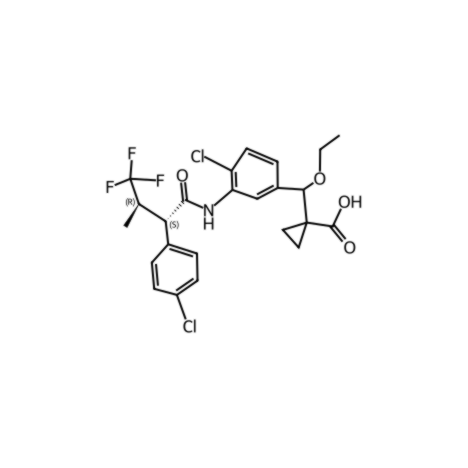 CCOC(c1ccc(Cl)c(NC(=O)[C@H](c2ccc(Cl)cc2)[C@@H](C)C(F)(F)F)c1)C1(C(=O)O)CC1